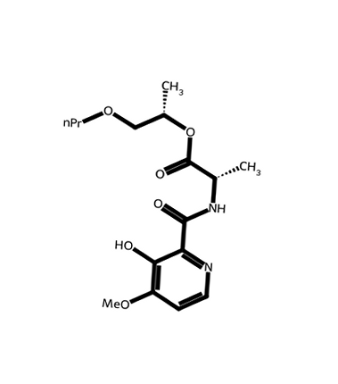 CCCOC[C@H](C)OC(=O)[C@H](C)NC(=O)c1nccc(OC)c1O